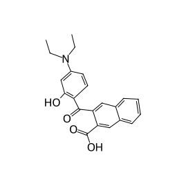 CCN(CC)c1ccc(C(=O)c2cc3ccccc3cc2C(=O)O)c(O)c1